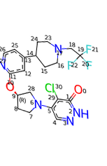 O=c1[nH]ncc(N2CC[C@@H](Oc3cc(C4CCN(CC(F)(F)F)CC4)ccn3)C2)c1Cl